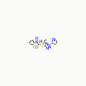 Cn1c(SCC(=O)Nc2ccccc2Cl)nnc1-c1cccnc1